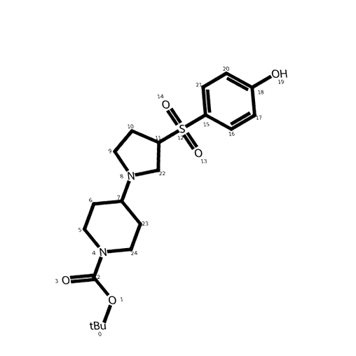 CC(C)(C)OC(=O)N1CCC(N2CCC(S(=O)(=O)c3ccc(O)cc3)C2)CC1